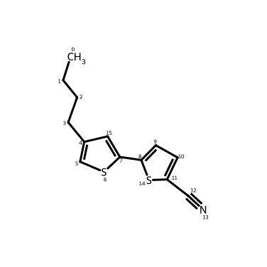 CCCCc1csc(-c2ccc(C#N)s2)c1